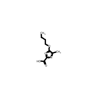 CCCCOc1oc(C(=O)O)nc1C